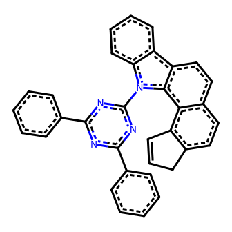 C1=Cc2c(ccc3ccc4c5ccccc5n(-c5nc(-c6ccccc6)nc(-c6ccccc6)n5)c4c23)C1